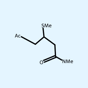 CNC(=O)CC(CC(C)=O)SC